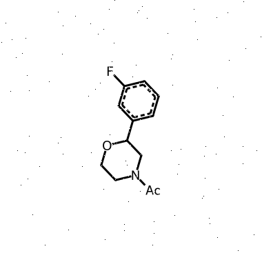 CC(=O)N1CCOC(c2cccc(F)c2)C1